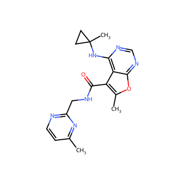 Cc1ccnc(CNC(=O)c2c(C)oc3ncnc(NC4(C)CC4)c23)n1